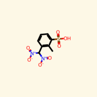 Cc1c(C([N+](=O)[O-])[N+](=O)[O-])cccc1S(=O)(=O)O